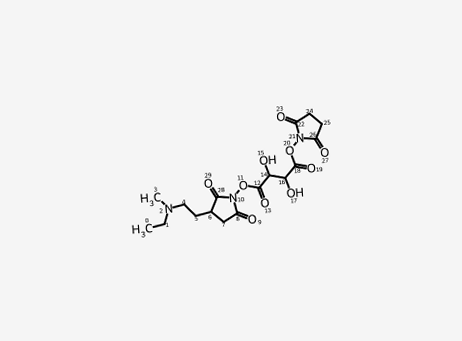 CCN(C)CCC1CC(=O)N(OC(=O)C(O)C(O)C(=O)ON2C(=O)CCC2=O)C1=O